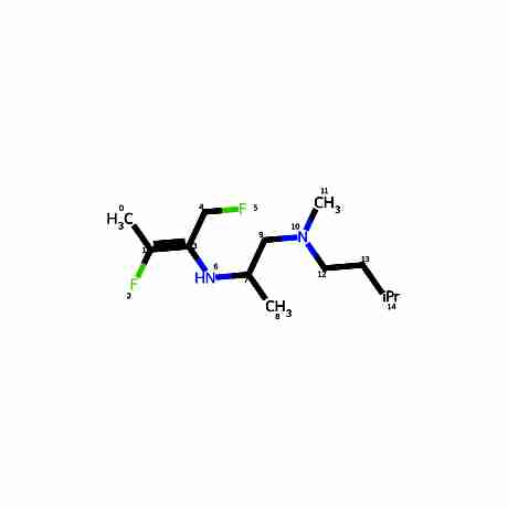 C/C(F)=C(\CF)NC(C)CN(C)CCC(C)C